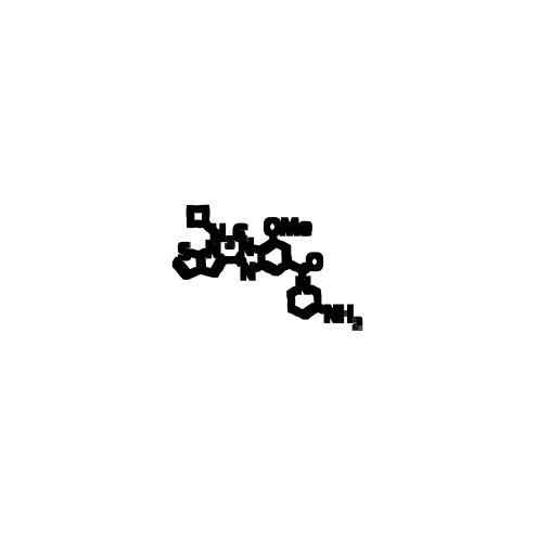 COc1cc(C(=O)N2CCC=C(N)C2)cc2nc(-c3cc4ccsc4n3CC3CCC3)n(C)c12